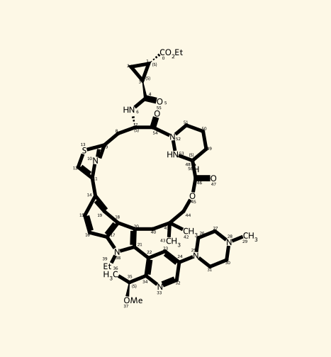 CCOC(=O)[C@H]1C[C@@H]1C(=O)N[C@H]1Cc2nc(cs2)-c2ccc3c(c2)c(c(-c2cc(N4CCN(C)CC4)cnc2[C@H](C)OC)n3CC)CC(C)(C)COC(=O)[C@@H]2CCCN(N2)C1=O